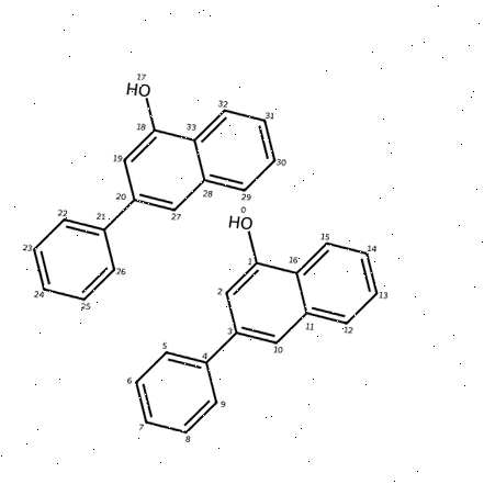 Oc1cc(-c2ccccc2)cc2ccccc12.Oc1cc(-c2ccccc2)cc2ccccc12